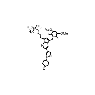 COc1cc(OC)c(F)c(Cc2cn(COCC[Si](C)(C)C)c3ncc(-c4cnn(C5CCC(=O)CC5)c4)cc23)c1F